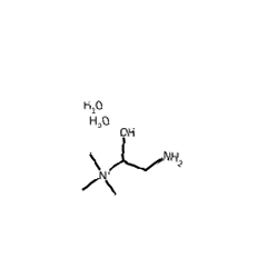 C[N+](C)(C)C(O)CN.O.O